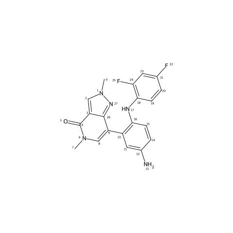 Cn1cc2c(=O)n(C)cc(-c3cc(N)ccc3Nc3ccc(F)cc3F)c2n1